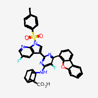 Cc1ccc(S(=O)(=O)n2cc(-c3nc(NC4C5CCC(CC5)C4C(=O)O)c(F)c(-c4cccc5c4oc4ccccc45)n3)c3cc(F)cnc32)cc1